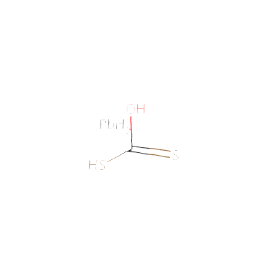 OC(=S)S.[PbH2]